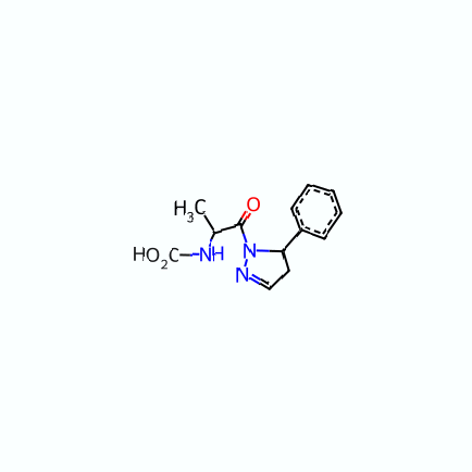 CC(NC(=O)O)C(=O)N1N=CCC1c1ccccc1